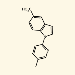 Cc1ccc(-n2ccc3cc(C(=O)O)ccc32)nc1